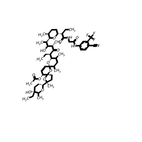 CCC(C(=O)NCC(=O)Nc1ccc(C#N)c(C(F)(F)F)c1)[C@H]1CC[C@H](C)[C@H](C(C)C(O)[C@H](C)C(=O)[C@H](CC)[C@H]2O[C@]3(C=C[C@@H](OC(C)=O)[C@]4(CC[C@@](C)([C@H]5CC[C@](O)(CC)C(C)O5)O4)O3)C(C)CC2C)O1